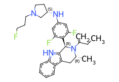 C=C(CC)N1[C@H](c2c(F)cc(N[C@H]3CCN(CCCF)C3)cc2F)c2[nH]c3ccccc3c2C[C@H]1C